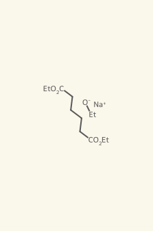 CCOC(=O)CCCCC(=O)OCC.CC[O-].[Na+]